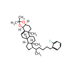 C[C@H](CCCCc1ccccc1F)[C@H]1CC[C@H]2[C@@H]3CC=C4[C@H]5OC(C)(C)O[C@H]5CC[C@]4(C)[C@H]3CC[C@]12C